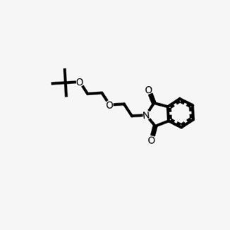 CC(C)(C)OCCOCCN1C(=O)c2ccccc2C1=O